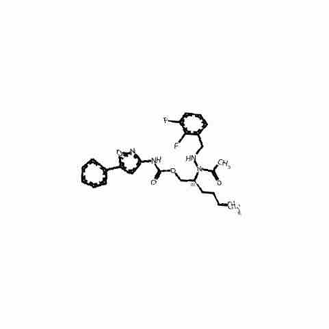 [CH2]CCC[C@@H](COC(=O)Nc1cc(-c2ccccc2)on1)N(NCc1cccc(F)c1F)C(C)=O